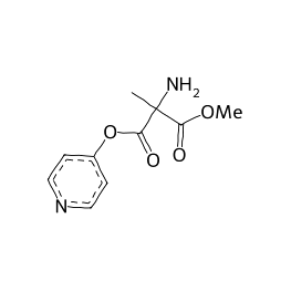 COC(=O)C(C)(N)C(=O)Oc1ccncc1